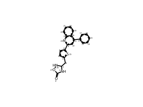 O=C1NC(Cc2ccc(-c3cc(-c4ccccc4)c4ccccc4n3)s2)NO1